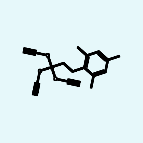 C#CO[Si](CCc1c(C)cc(C)cc1C)(OC#C)OC#C